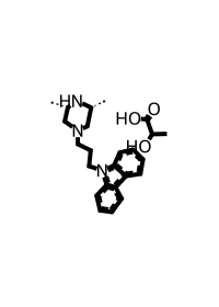 CC(O)C(=O)O.C[C@@H]1CN(CCCn2c3ccccc3c3ccccc32)C[C@H](C)N1